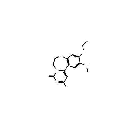 CCOc1cc2c(cc1OC)-c1cc(Cl)nc(=O)n1CCO2